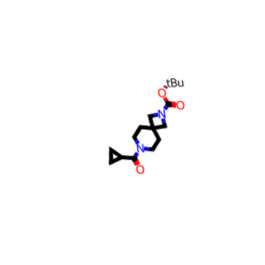 CC(C)(C)OC(=O)N1CC2(CCN(C(=O)C3CC3)CC2)C1